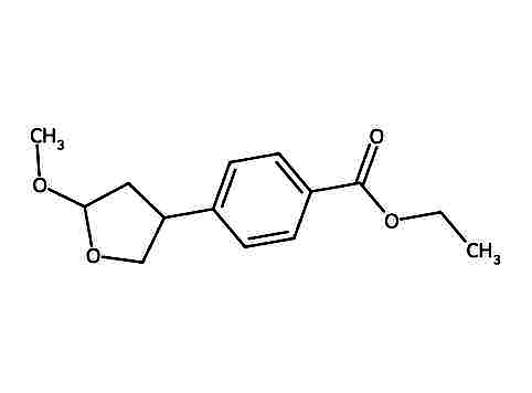 CCOC(=O)c1ccc(C2COC(OC)C2)cc1